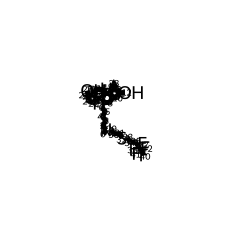 CN(CCCCC[C@@H]1Cc2cc(O)c3c(c2[C@H]2CC[C@@]4(C)[C@@H](CC[C@]4(C)O)[C@H]12)C3)CCCSCCCC(F)(F)C(F)(F)F